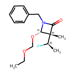 CCOCO[C@@H]1N(Cc2ccccc2)C(=O)[C@]1(C)[C@@H](C)F